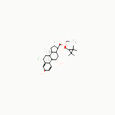 C[C@@H]1C[C@H]2[C@@H]3C[C@H](F)C4=CC(=O)C=C[C@]4(C)[C@@]3(F)[C@@H](O)C[C@]2(C)[C@]1(OC(=O)C1C(C)(C)C1(C)C)C(=O)OCC#N